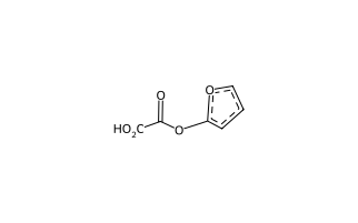 O=C(O)C(=O)Oc1ccco1